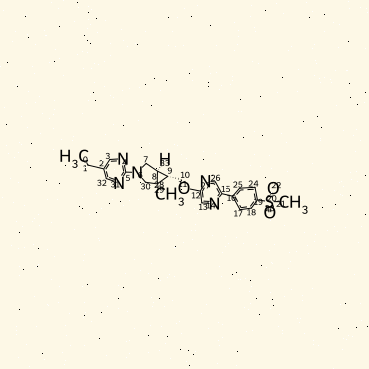 CCc1cnc(N2C[C@H]3[C@H](COc4cnc(-c5ccc(S(C)(=O)=O)cc5)cn4)[C@@]3(C)C2)nc1